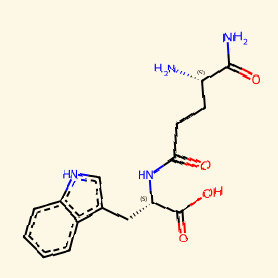 NC(=O)[C@@H](N)CCC(=O)N[C@@H](Cc1c[nH]c2ccccc12)C(=O)O